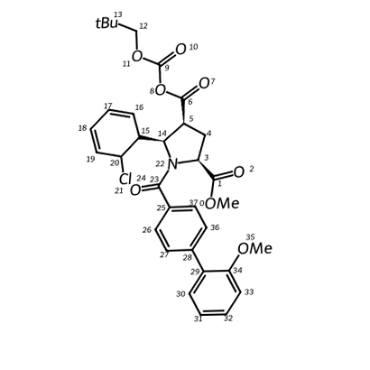 COC(=O)[C@@H]1C[C@H](C(=O)OC(=O)OCC(C)(C)C)[C@H](C2C=CC=CC2Cl)N1C(=O)c1ccc(-c2ccccc2OC)cc1